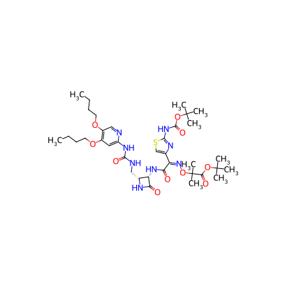 CCCCOc1cnc(NC(=O)NC[C@H]2NC(=O)[C@H]2NC(=O)/C(=N\OC(C)(C)C(=O)OC(C)(C)C)c2csc(NC(=O)OC(C)(C)C)n2)cc1OCCCC